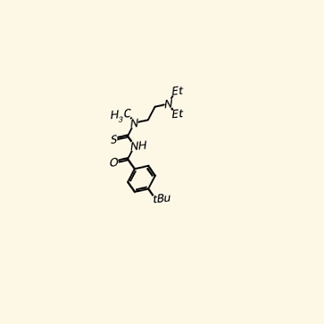 CCN(CC)CCN(C)C(=S)NC(=O)c1ccc(C(C)(C)C)cc1